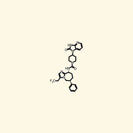 O=C(N[C@@H]1CC[C@@H](c2ccccc2)Cn2c(CC(F)(F)F)cnc21)N1CCC(n2c(=O)[nH]c3ncccc32)CC1